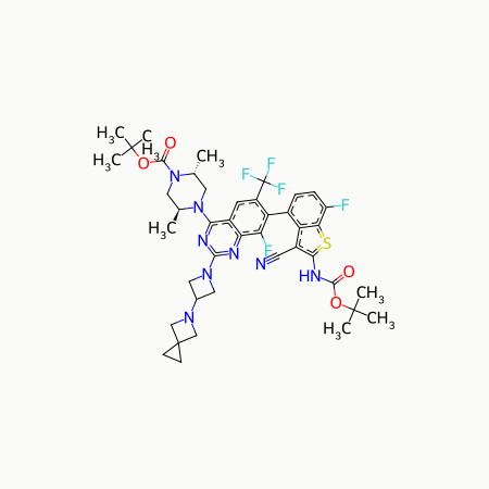 C[C@@H]1CN(c2nc(N3CC(N4CC5(CC5)C4)C3)nc3c(F)c(-c4ccc(F)c5sc(NC(=O)OC(C)(C)C)c(C#N)c45)c(C(F)(F)F)cc23)[C@@H](C)CN1C(=O)OC(C)(C)C